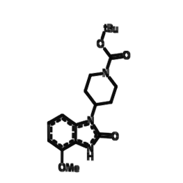 COc1cccc2c1[nH]c(=O)n2C1CCN(C(=O)OC(C)(C)C)CC1